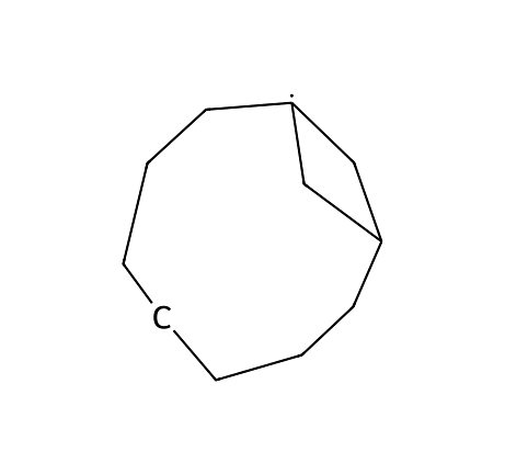 C1CCC[C]2CC(CCC1)C2